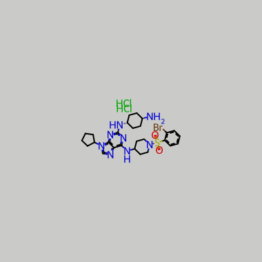 Cl.Cl.N[C@H]1CC[C@H](Nc2nc(NC3CCN(S(=O)(=O)c4ccccc4Br)CC3)c3ncn(C4CCCC4)c3n2)CC1